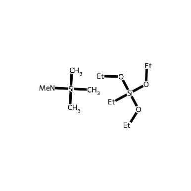 CCO[Si](CC)(OCC)OCC.CN[Si](C)(C)C